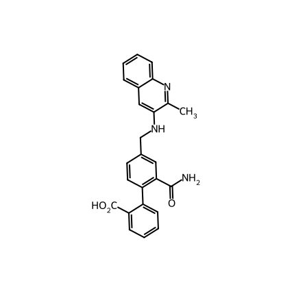 Cc1nc2ccccc2cc1NCc1ccc(-c2ccccc2C(=O)O)c(C(N)=O)c1